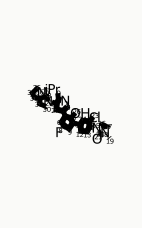 Cc1ncc(-c2cc(F)cc(-c3ccc(-n4ccn(C)c4=O)c(Cl)c3)c2O)cc1N1CCC2(CCCN2C(C)C)C1